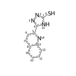 Sc1nnc(-c2ccc3ccccc3n2)[nH]1